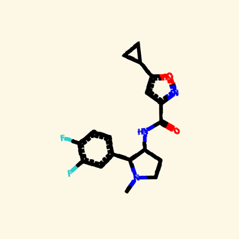 CN1CCC(NC(=O)c2cc(C3CC3)on2)C1c1ccc(F)c(F)c1